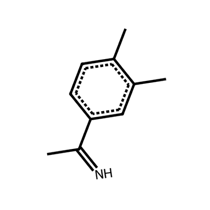 CC(=N)c1ccc(C)c(C)c1